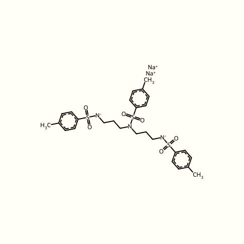 Cc1ccc(S(=O)(=O)[N-]CCCN(CCC[N-]S(=O)(=O)c2ccc(C)cc2)S(=O)(=O)c2ccc(C)cc2)cc1.[Na+].[Na+]